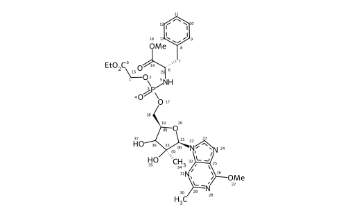 CCOC(=O)COP(=O)(N[C@@H](Cc1ccccc1)C(=O)OC)OC[C@H]1O[C@@H](n2cnc3c(OC)nc(C)nc32)[C@@](C)(O)C1O